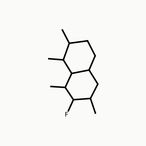 CC1CCC2CC(C)C(F)C(C)C2C1C